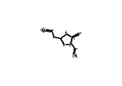 C=CCC1CN(C=C)C(=O)O1